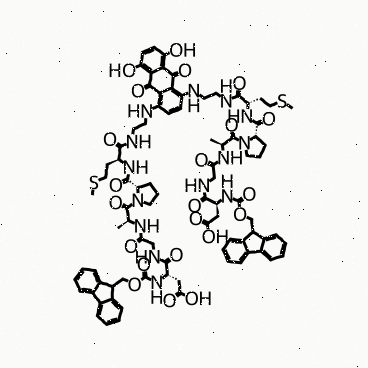 CSCC[C@H](NC(=O)[C@@H]1CCCN1C(=O)[C@H](C)NC(=O)CNC(=O)[C@H](CC(=O)O)NC(=O)OCC1c2ccccc2-c2ccccc21)C(=O)NCCNc1ccc(NCCNC(=O)[C@H](CCSC)NC(=O)[C@@H]2CCCN2C(=O)[C@H](C)NC(=O)CNC(=O)[C@H](CC(=O)O)NC(=O)OCC2c3ccccc3-c3ccccc32)c2c1C(=O)c1c(O)ccc(O)c1C2=O